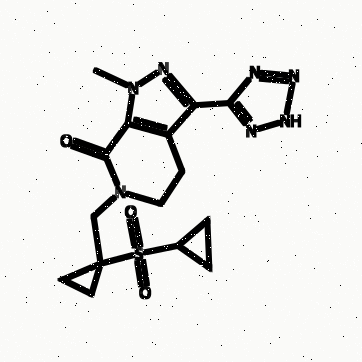 Cn1nc(-c2nn[nH]n2)c2c1C(=O)N(CC1(S(=O)(=O)C3CC3)CC1)CC2